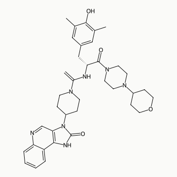 C=C(N[C@H](Cc1cc(C)c(O)c(C)c1)C(=O)N1CCN(C2CCOCC2)CC1)N1CCC(n2c(=O)[nH]c3c4ccccc4ncc32)CC1